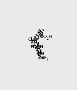 C[C@H]1CN(C(=O)O)[C@H](c2ccc(-n3c(Cl)cc4c(=O)n(CC5(O)CCN(C(=O)[C@@]6(C)C[C@@H]6C(F)(F)F)CC5)cnc43)cc2)CO1